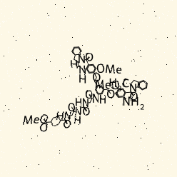 COC(=O)C1CCC(C(=O)NCC(=O)NCC(=O)NCC(=O)Nc2cc(COc3cc(N)c(C(=O)N4c5ccccc5C[C@H]4C)cc3OC)cc(COc3cc4c(cc3OC)C(=O)N3c5ccccc5C[C@H]3CN4)c2)CC1